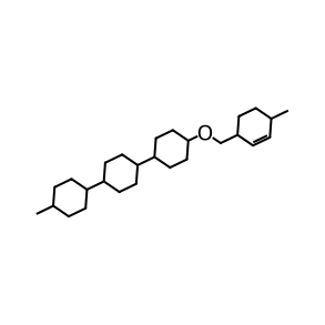 CC1C=CC(COC2CCC(C3CCC(C4CCC(C)CC4)CC3)CC2)CC1